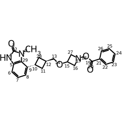 Cn1c(=O)[nH]c2cccc([C@H]3C[C@H](COC4CN(OC(=O)c5ccccc5)C4)C3)c21